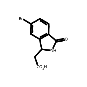 O=C(O)CC1NC(=O)c2ccc(Br)cc21